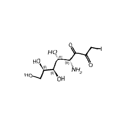 N[C@@H](C(=O)C(=O)CI)[C@@H](O)[C@@H](O)[C@H](O)CO